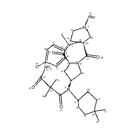 CN(C)C(=O)[C@@H]1C[C@H](N(C(=O)C(C)(C)C(N)=O)C2CCC(C)(C)CC2)CN1C(=O)[C@@H]1CN(C(C)(C)C)C[C@H]1c1ccc(Cl)cc1